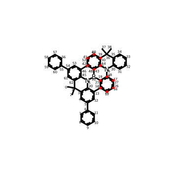 CC1(C)c2cc(-c3ccccc3)cc(-c3ccccc3)c2N(B2c3ccccc3N3c4ccccc4C(C)(C)c4cccc2c43)c2c(-c3ccccc3)cc(-c3ccccc3)cc21